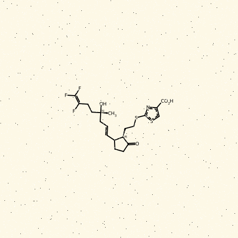 C[C@@](O)(CC=CC1CCC(=O)[C@@H]1CCSc1nc(C(=O)O)cs1)CCC(F)=C(F)F